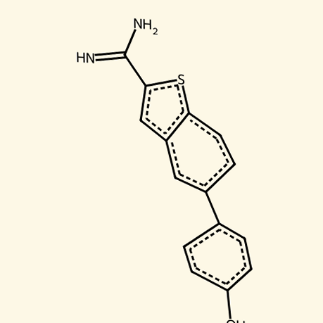 N=C(N)c1cc2cc(-c3ccc(O)cc3)ccc2s1